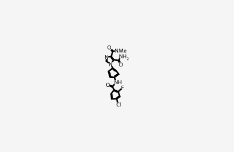 CNC(=O)c1ncn(-c2ccc(NC(=O)c3ccc(Cl)cc3F)cc2)c1C(N)=O